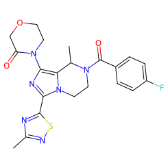 Cc1nsc(-c2nc(N3CCOCC3=O)c3n2CCN(C(=O)c2ccc(F)cc2)C3C)n1